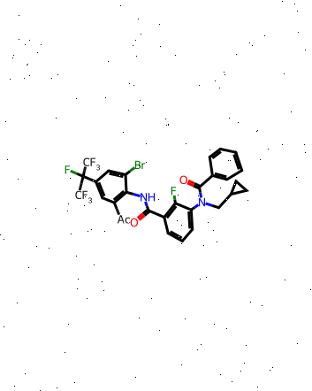 CC(=O)c1cc(C(F)(C(F)(F)F)C(F)(F)F)cc(Br)c1NC(=O)c1cccc(N(CC2CC2)C(=O)c2ccccc2)c1F